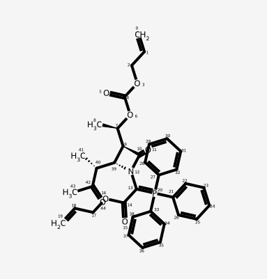 C=CCOC(=O)O[C@H](C)[C@H]1C(=O)N(C(C(=O)OCC=C)=P(c2ccccc2)(c2ccccc2)c2ccccc2)[C@@H]1[C@@H](C)C(C)=O